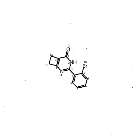 O=c1[nH]c(-c2ccccc2Br)nc2c1CC2